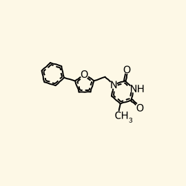 Cc1cn(Cc2ccc(-c3ccccc3)o2)c(=O)[nH]c1=O